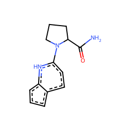 NC(=O)C1CCCN1c1ccc2cccc-2[nH]1